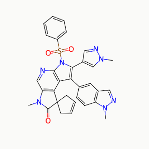 CN1C(=O)C2(CC=CC2)c2c1cnc1c2c(-c2ccc3c(cnn3C)c2)c(-c2cnn(C)c2)n1S(=O)(=O)c1ccccc1